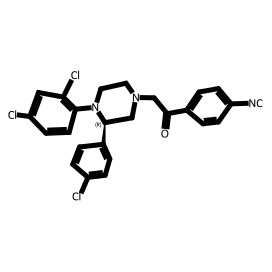 [C-]#[N+]c1ccc(C(=O)CN2CCN(c3ccc(Cl)cc3Cl)[C@H](c3ccc(Cl)cc3)C2)cc1